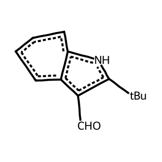 CC(C)(C)c1[nH]c2ccccc2c1C=O